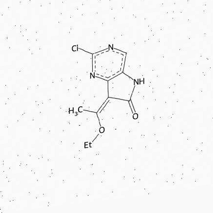 CCO/C(C)=C1\C(=O)Nc2cnc(Cl)nc21